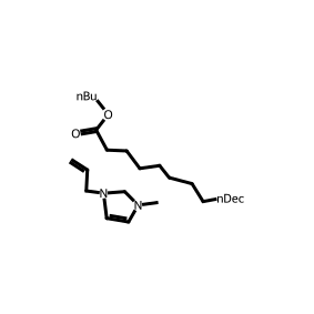 C=CCN1C=CN(C)C1.CCCCCCCCCCCCCCCCCC(=O)OCCCC